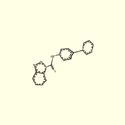 O=C(Nc1ccc(-c2ccccc2)cc1)n1nnc2ccccc21